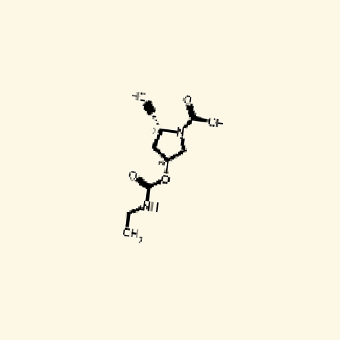 C#C[C@H]1C[C@H](OC(=O)NCC)CN1C(=O)O